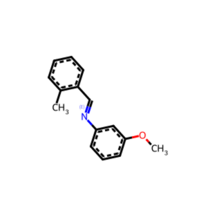 COc1cccc(/N=C/c2ccccc2C)c1